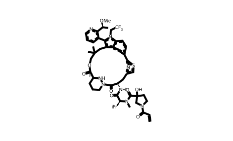 C=CC(=O)N1CCC(O)(C(=O)N(C)[C@H](C(=O)N[C@H]2Cc3csc(n3)-c3ccc4c(c3)c(c(-c3cccnc3[C@H](C)OC)n4CC(F)(F)F)CC(C)(C)COC(=O)[C@@H]3CCCN(N3)C2=O)C(C)C)C1